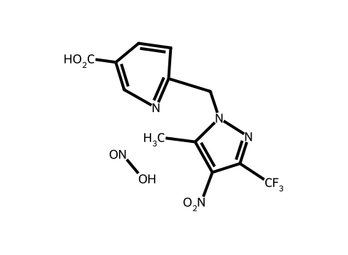 Cc1c([N+](=O)[O-])c(C(F)(F)F)nn1Cc1ccc(C(=O)O)cn1.O=NO